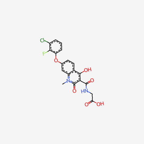 Cn1c(=O)c(C(=O)NCC(=O)O)c(O)c2ccc(Oc3cccc(Cl)c3F)cc21